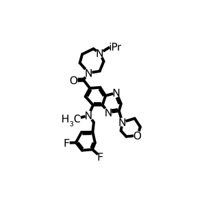 CC(C)N1CCCN(C(=O)c2cc(N(C)Cc3cc(F)cc(F)c3)c3nc(N4CCOCC4)cnc3c2)CC1